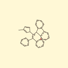 CC1=C[CH]([Hf](=[C](c2ccccc2)c2ccccc2)[CH]2c3ccccc3-c3ccccc32)C=C1